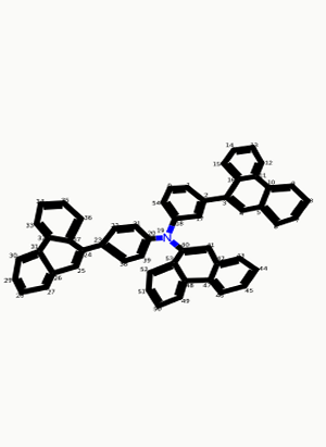 c1cc(-c2cc3ccccc3c3ccccc23)cc(N(c2ccc(-c3cc4ccccc4c4ccccc34)cc2)c2cc3ccccc3c3ccccc23)c1